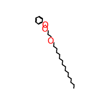 CCCCCCCCCCCCCCCCOCCCOOc1ccccc1